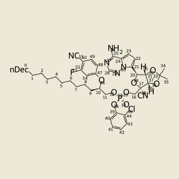 CCCCCCCCCCCCCCCCCCC[C@H](COP(=O)(OC[C@@]1(C#N)O[C@@H](c2ccc3c(N)ncnn23)[C@@H]2OC(C)(C)O[C@@H]21)Oc1ccccc1Cl)Oc1ccc(C#N)c(F)c1